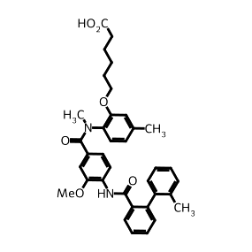 COc1cc(C(=O)N(C)c2ccc(C)cc2OCCCCCC(=O)O)ccc1NC(=O)c1ccccc1-c1ccccc1C